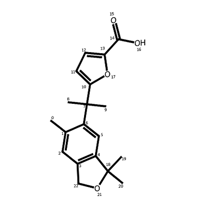 Cc1cc2c(cc1C(C)(C)c1ccc(C(=O)O)o1)C(C)(C)OC2